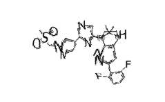 CC1(C)[C@H]2CC[C@@]1(c1cncc(-c3cnn(CS(C)(=O)=O)c3)n1)c1nnc(-c3c(F)cccc3F)cc12